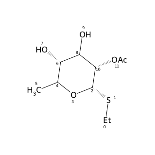 CCS[C@@H]1OC(C)[C@H](O)C(O)[C@@H]1OC(C)=O